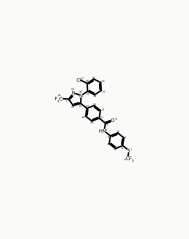 O=C(Nc1ccc(SC(F)(F)F)cc1)c1ccc(-c2cc(C(F)(F)F)nn2-c2ccccc2Cl)cc1